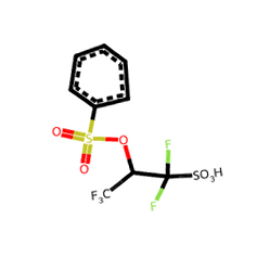 O=S(=O)(OC(C(F)(F)F)C(F)(F)S(=O)(=O)O)c1ccccc1